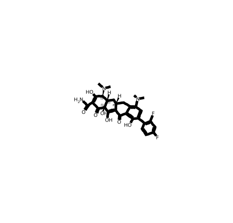 CN(C)c1cc(-c2ccc(F)cc2F)c(O)c2c1C[C@H]1C[C@H]3[C@H](N(C)C)C(O)=C(C(N)=O)C(=O)[C@@]3(O)C(O)=C1C2=O